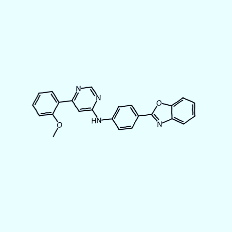 COc1ccccc1-c1cc(Nc2ccc(-c3nc4ccccc4o3)cc2)ncn1